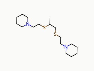 CC(CSCCN1CCCCC1)SCCN1CCCCC1